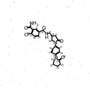 NC(=O)c1cc(C(=O)NCC2CC(=O)N(c3ccc(N4CCCCC4=O)cc3)C2)ccc1Cl